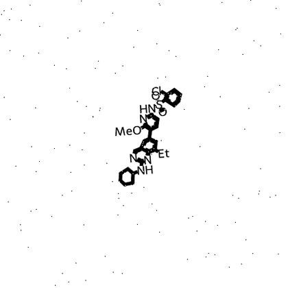 CCc1cc(-c2ccc(NS(=O)(=O)c3ccccc3Cl)nc2OC)cc2cnc(NC3CCCCC3)nc12